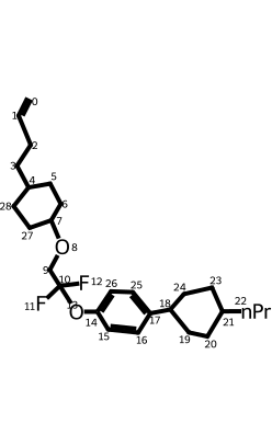 C=CCCC1CCC(OCC(F)(F)Oc2ccc(C3CCC(CCC)CC3)cc2)CC1